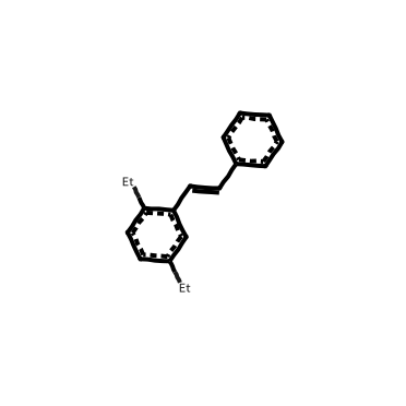 CCc1ccc(CC)c(C=Cc2ccccc2)c1